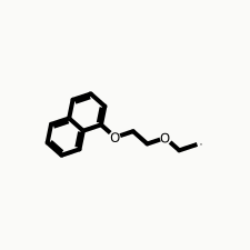 [CH2]COCCOc1cccc2ccccc12